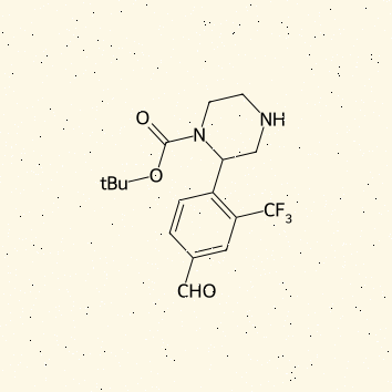 CC(C)(C)OC(=O)N1CCNCC1c1ccc(C=O)cc1C(F)(F)F